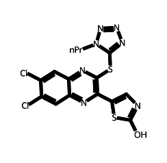 CCCn1nnnc1Sc1nc2cc(Cl)c(Cl)cc2nc1-c1cnc(O)s1